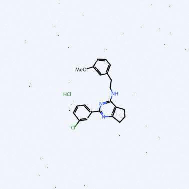 COc1cccc(CCNc2nc(-c3cccc(Cl)c3)nc3c2CCC3)c1.Cl